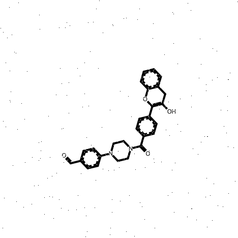 O=Cc1ccc(N2CCN(C(=O)c3ccc(C4=C(O)Cc5ccccc5O4)cc3)CC2)cc1